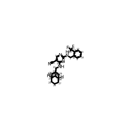 N#Cc1cnc(NCc2ccccc2C(F)(F)F)nc1NCC1C[C@H]2CCC[C@@H](C1)[C@@H]2N